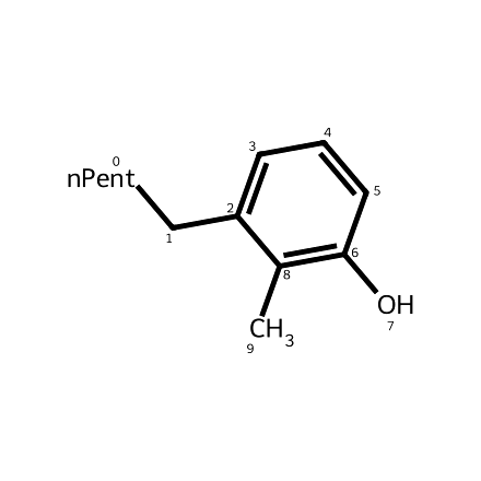 CCCCCCc1cccc(O)c1C